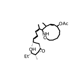 CC[C@H](O)[C@@H](C)[C@H]1O[C@@H]1C[C@H](C)/C=C/C=C(/C)C1NOCCCCCC(OC(C)=O)C=CC1C